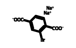 O=C([O-])c1ccc(C(=O)[O-])c(Br)c1.[Na+].[Na+]